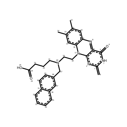 C=c1nc2c(c(=O)[nH]1)=Nc1cc(C)c(C)cc1N2CCN(CCCC(=O)O)Cc1ccc2ccccc2c1